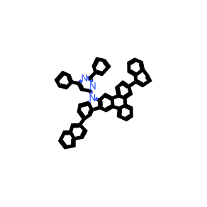 c1ccc(-c2cc(-n3c4ccc(-c5ccc6ccccc6c5)cc4c4cc5c6ccccc6c6cc(-c7cccc8ccccc78)ccc6c5cc43)nc(-c3ccccc3)n2)cc1